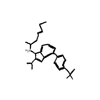 CCCCCC(C)[SiH2]C1C(C(C)C)=Cc2c(-c3ccc(C(C)(C)C)cc3)cccc21